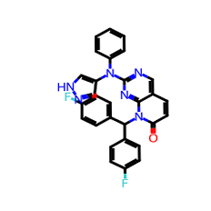 O=c1ccc2cnc(N(c3ccccc3)c3cn[nH]c3)nc2n1C(c1ccc(F)cc1)c1ccc(F)cc1